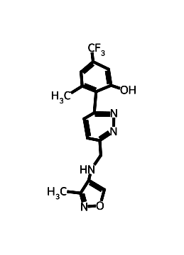 Cc1cc(C(F)(F)F)cc(O)c1-c1ccc(CNc2conc2C)nn1